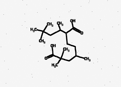 CC(CCC(C(=O)O)C(C)CC(C)(C)C)CC(C)(C)C(=O)O